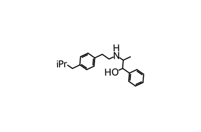 CC(C)Cc1ccc(CCNC(C)C(O)c2ccccc2)cc1